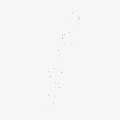 COCC(=O)Cc1ccc(OCCN2CC(c3ccccc3)OC2=O)cc1